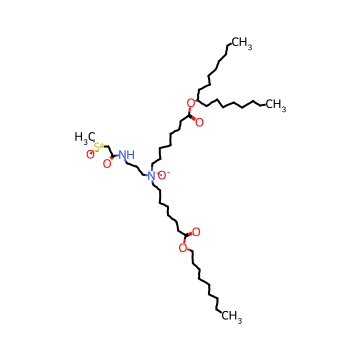 CCCCCCCCCOC(=O)CCCCCCC[N+]([O-])(CCCCCCCC(=O)OC(CCCCCCCC)CCCCCCCC)CCCNC(=O)C[S+](C)[O-]